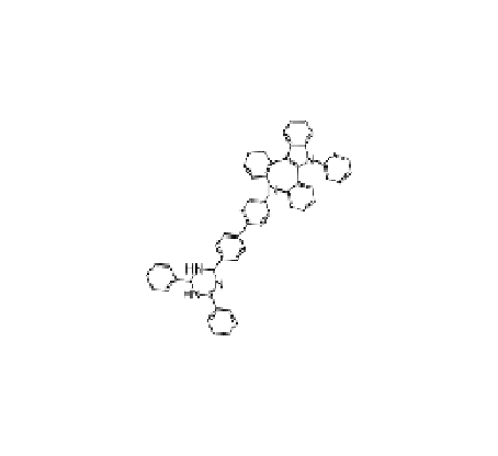 C1=CC(C2NC(c3ccccc3)=NC(c3ccc(-c4ccc(N5C6=C(CCC=C6)c6c(n(-c7ccccc7)c7ccccc67)-c6ccccc65)cc4)cc3)N2)=CCC1